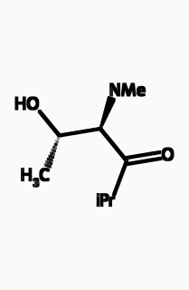 CN[C@@H](C(=O)C(C)C)[C@H](C)O